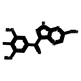 COc1cnc2c(C(=O)c3cc(OC)c(C)c(OC)c3)n[nH]c2n1